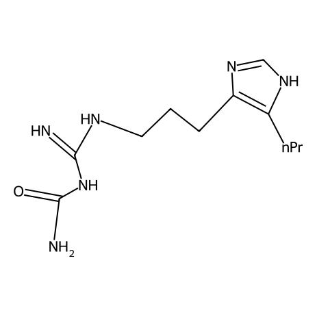 CCCc1[nH]cnc1CCCNC(=N)NC(N)=O